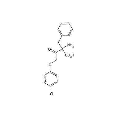 NC(Cc1ccccc1)(C(=O)O)C(=O)COc1ccc(Cl)cc1